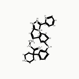 COC(=O)C1(c2cccc(Sc3ccc4c(ccc5nnc(-c6ccccn6)n54)c3)c2)CCOCC1